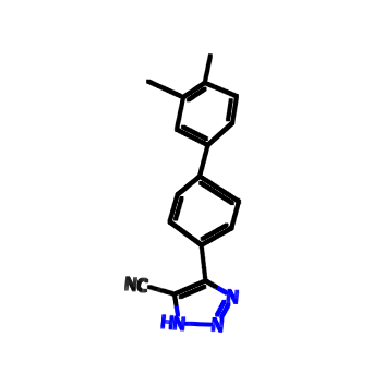 Cc1ccc(-c2ccc(-c3nn[nH]c3C#N)cc2)cc1C